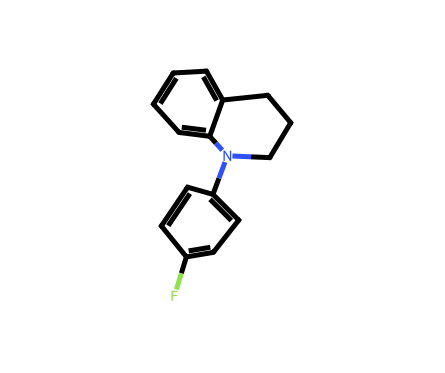 Fc1ccc(N2CCCc3ccccc32)cc1